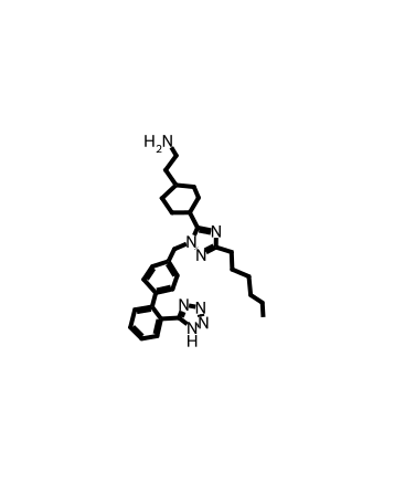 CCCCCCc1nc(C2CCC(CCN)CC2)n(Cc2ccc(-c3ccccc3-c3nnn[nH]3)cc2)n1